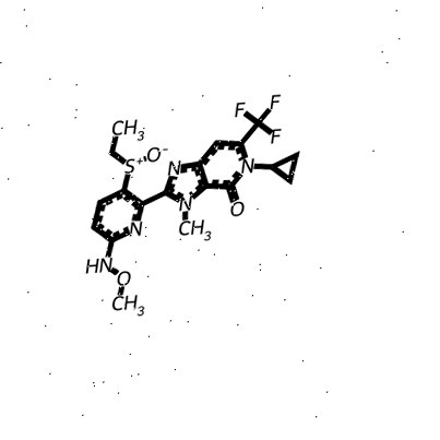 CC[S+]([O-])c1ccc(NOC)nc1-c1nc2cc(C(F)(F)F)n(C3CC3)c(=O)c2n1C